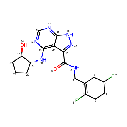 O=C(NCC1=C(F)CCC(F)C1)c1n[nH]c2ncnc(N[C@@H]3CCC[C@H]3O)c12